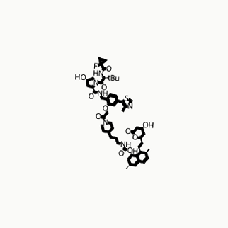 Cc1ncsc1-c1ccc(CNC(=O)[C@H]2C[C@H](O)CN2C(=O)[C@H](NC(=O)C2(F)CC2)C(C)(C)C)c(OCC(=O)N2CCC(CCCNC(=O)O[C@H]3C[C@@H](C)C=C4C=C[C@H](C)[C@H](CC[C@@H]5C[C@@H](O)CC(=O)O5)[C@H]43)CC2)c1